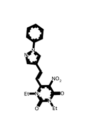 CCn1c(C=Cc2cnn(-c3ccccc3)c2)c([N+](=O)[O-])c(=O)n(CC)c1=O